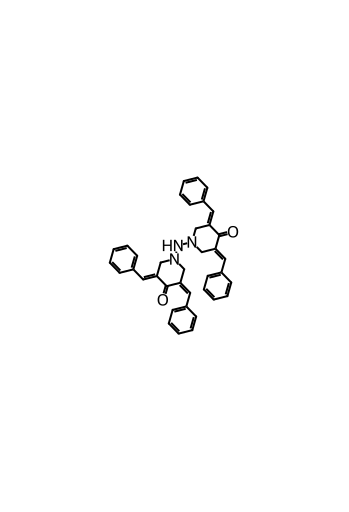 O=C1C(=Cc2ccccc2)CN(NN2CC(=Cc3ccccc3)C(=O)C(=Cc3ccccc3)C2)CC1=Cc1ccccc1